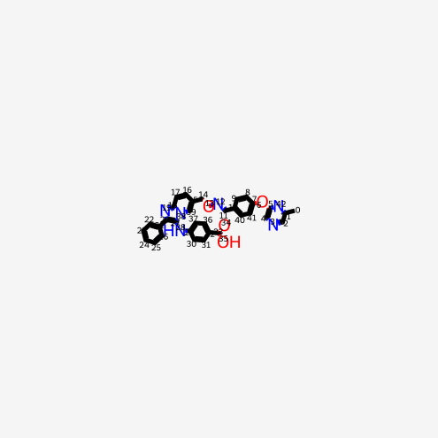 Cc1cncc(Oc2ccc(C=NOCc3ccc4nc(-c5ccccc5)c(Nc5ccc(C(=O)O)cc5)n4c3)cc2)n1